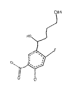 O=[N+]([O-])c1cc(C(O)CCCO)c(F)cc1Cl